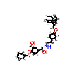 OCc1cc(C(O)CNCCc2ccc(OCCC34CC5CC(CC(C5)C3)C4)cc2)ccc1OCc1ccccc1